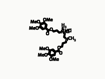 COc1cc(C(=O)OCCCN(C)CCN(C)CCCOC(=O)c2cc(OC)c(OC)c(OC)c2)cc(OC)c1OC.Cl.Cl